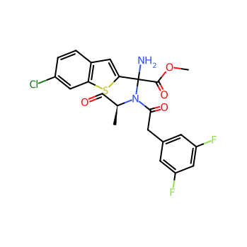 COC(=O)C(N)(c1cc2ccc(Cl)cc2s1)N(C(=O)Cc1cc(F)cc(F)c1)[C@@H](C)C=O